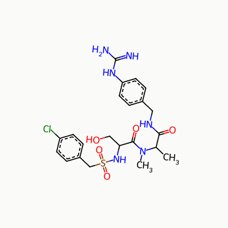 CC(C(=O)NCc1ccc(NC(=N)N)cc1)N(C)C(=O)C(CO)NS(=O)(=O)Cc1ccc(Cl)cc1